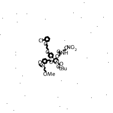 COCCCN1CCOc2ccc(CO[C@H]3CN(C(=O)OC(C)(C)C)C[C@@H](OCC(=O)NCCO[N+](=O)[O-])[C@@H]3c3ccc(OCCCOc4ccccc4Cl)cc3)cc21